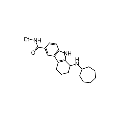 CCNC(=O)c1ccc2[nH]c3c(c2c1)CCCC3NC1CCCCCC1